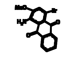 COc1cc(Br)c2c(c1N)C(=O)c1ccccc1C2=O